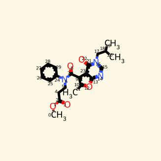 COC(=O)CCN(C(=O)c1c(C)oc2ncn(CC(C)C)c(=O)c12)c1ccccc1